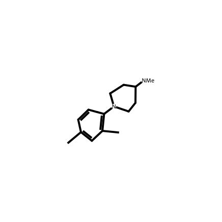 CNC1CCN(c2ccc(C)cc2C)CC1